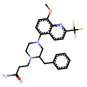 COc1ccc(N2CCN(CCC(N)=O)C(Cc3ccccc3)C2)c2ccc(C(F)(F)F)nc12